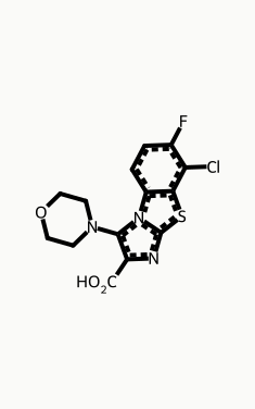 O=C(O)c1nc2sc3c(Cl)c(F)ccc3n2c1N1CCOCC1